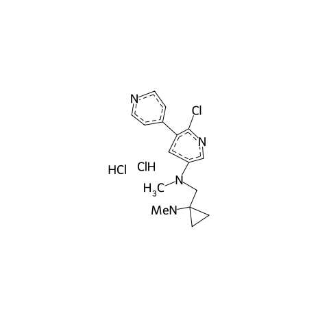 CNC1(CN(C)c2cnc(Cl)c(-c3ccncc3)c2)CC1.Cl.Cl